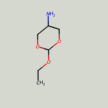 CCOC1OCC(N)CO1